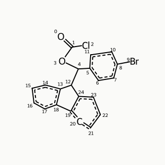 O=C(Cl)OC(c1ccc(Br)cc1)C1c2ccccc2-c2ccccc21